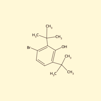 CC(C)(C)c1ccc(Br)c(C(C)(C)C)c1O